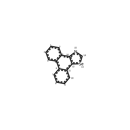 c1ccc2c(c1)c1ccccc1c1[se]cnc21